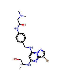 C[C@H](CO)Nc1cc(NCc2ccc(NC(=O)CN(C)C)cc2)n2ncc(Br)c2n1